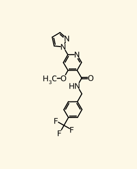 COc1cc(-n2cccn2)ncc1C(=O)NCc1ccc(C(F)(F)F)cc1